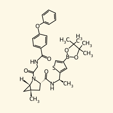 C[C@@H](NC(=O)[C@@H]1C[C@]2(C)C[C@@H]2N1C(=O)CNC(=O)c1ccc(Oc2ccccc2)cc1)c1cc(B2OC(C)(C)C(C)(C)O2)cs1